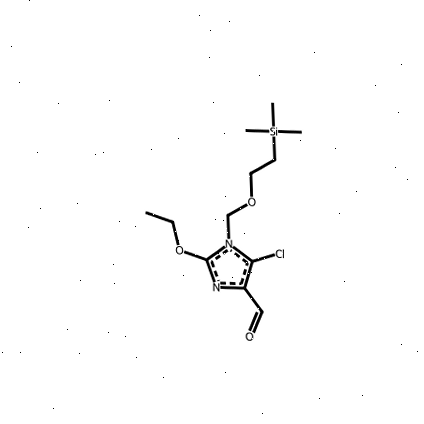 CCOc1nc(C=O)c(Cl)n1COCC[Si](C)(C)C